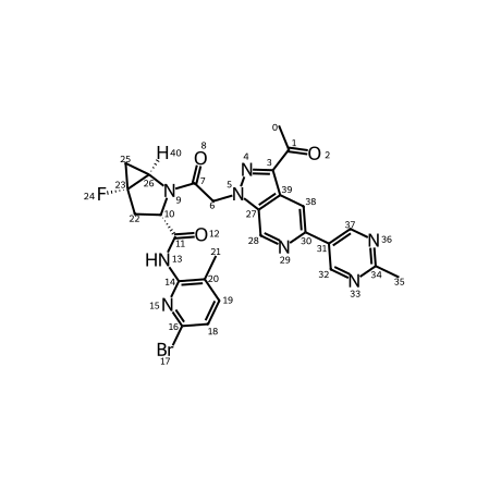 CC(=O)c1nn(CC(=O)N2[C@H](C(=O)Nc3nc(Br)ccc3C)C[C@@]3(F)C[C@@H]23)c2cnc(-c3cnc(C)nc3)cc12